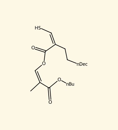 CCCCCCCCCCCCC(=CS)C(=O)OC=C(C)C(=O)OCCCC